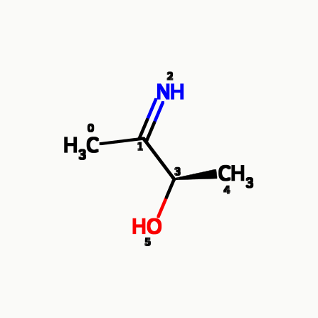 CC(=N)[C@@H](C)O